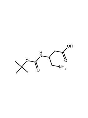 CC(C)(C)OC(=O)NC(CN)CC(=O)O